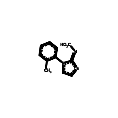 Cc1ccccc1-n1ccs/c1=N/C(=O)O